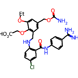 CCOc1cc(COC(N)=O)cc(CNc2ccc(Cl)cc2C(=O)Nc2ccc(C(=N)N)cc2)c1OCC(=O)O